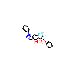 OC(COc1ccccc1)(c1ccc2c(cnn2-c2ccccc2)c1)C(F)(F)F